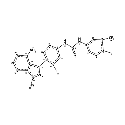 Cc1ccc(NC(=O)Nc2ccc(-c3nn(C(C)C)c4ncnc(N)c34)c(F)c2)cc1C(F)(F)F